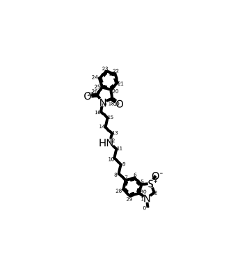 CN1C[S+]([O-])c2cc(CCCCNCCCCN3C(=O)c4ccccc4C3=O)ccc21